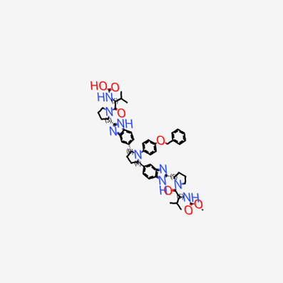 COC(=O)N[C@H](C(=O)N1CCC[C@H]1c1nc2cc([C@H]3CC[C@H](c4ccc5[nH]c([C@@H]6CCCN6C(=O)[C@@H](NC(=O)O)C(C)C)nc5c4)N3c3ccc(OCc4ccccc4)cc3)ccc2[nH]1)C(C)C